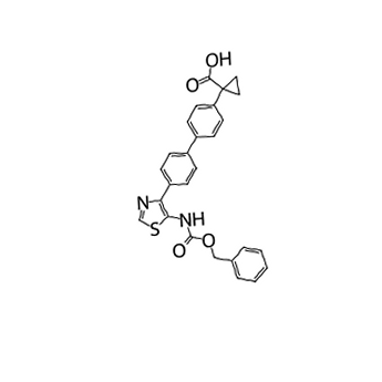 O=C(Nc1scnc1-c1ccc(-c2ccc(C3(C(=O)O)CC3)cc2)cc1)OCc1ccccc1